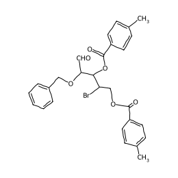 Cc1ccc(C(=O)OCC(Br)C(OC(=O)c2ccc(C)cc2)C(C=O)OCc2ccccc2)cc1